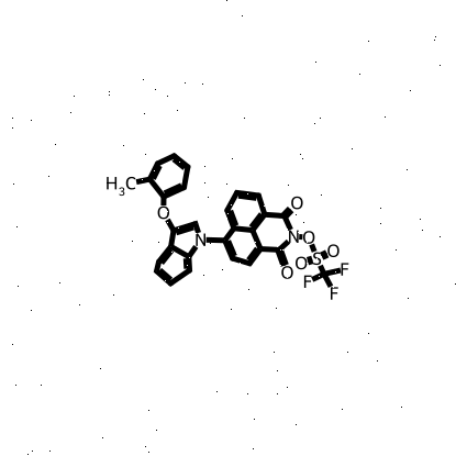 Cc1ccccc1Oc1cn(-c2ccc3c4c(cccc24)C(=O)N(OS(=O)(=O)C(F)(F)F)C3=O)c2ccccc12